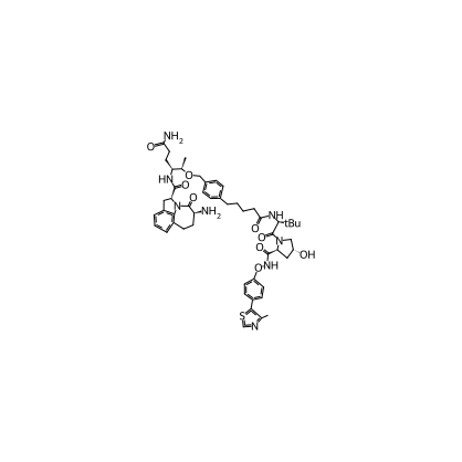 Cc1ncsc1-c1ccc(ONC(=O)[C@@H]2C[C@@H](O)CN2C(=O)[C@@H](NC(=O)CCCCc2ccc(CO[C@H](C)[C@H](CCC(N)=O)NC(=O)[C@@H]3Cc4cccc5c4N3C(=O)[C@@H](N)CC5)cc2)C(C)(C)C)cc1